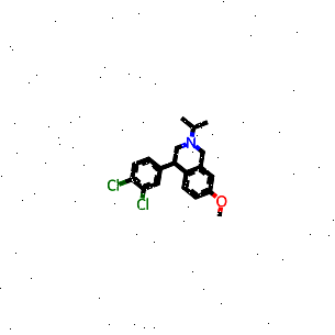 COc1ccc2c(c1)CN(C(C)C)CC2c1ccc(Cl)c(Cl)c1